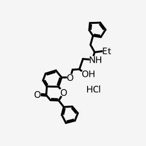 CCC(Cc1ccccc1)NCC(O)COc1cccc2c(=O)cc(-c3ccccc3)oc12.Cl